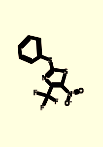 O=[N+]([O-])c1sc(Sc2ccccc2)nc1C(F)(F)F